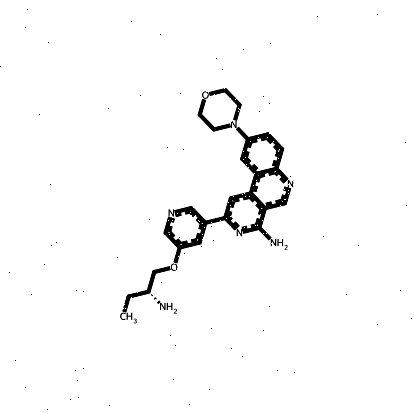 CC[C@@H](N)COc1cncc(-c2cc3c(cnc4ccc(N5CCOCC5)cc43)c(N)n2)c1